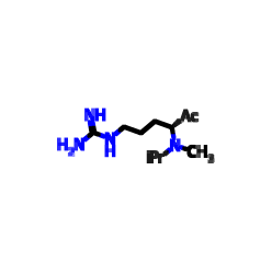 CC(=O)[C@H](CCCNC(=N)N)N(C)C(C)C